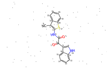 N#Cc1c(NC(=O)C(=O)c2c[nH]c3ccccc23)sc2ccccc12